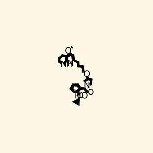 COc1cc(CCCCOC2CCN(C(C(=O)O)c3ccccc3OC3CC3)C2)nc2c1CCCN2